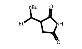 CCCCC(CC)C1CC(=O)NC1=O